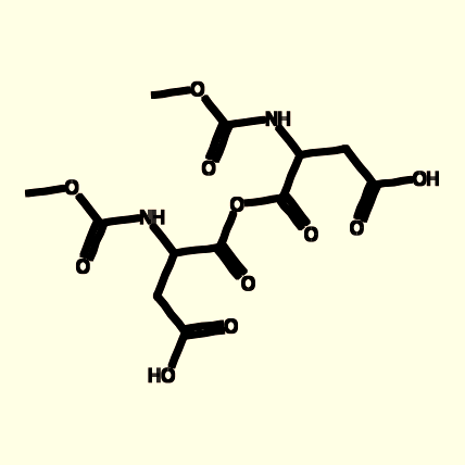 COC(=O)NC(CC(=O)O)C(=O)OC(=O)C(CC(=O)O)NC(=O)OC